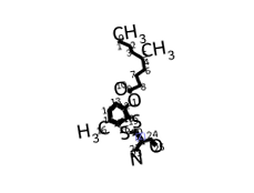 CCCCC(C)CCCC(=O)Oc1ccc(C)c2c1S/C(=C(/C#N)C=O)S2